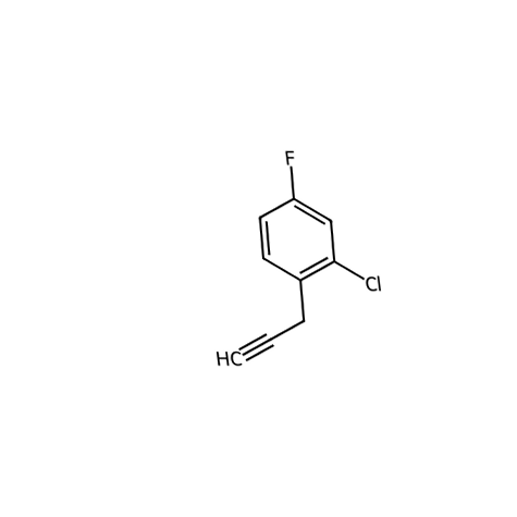 C#CCc1ccc(F)cc1Cl